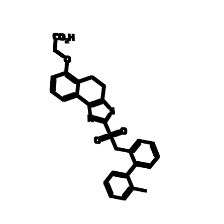 Cc1ccccc1-c1ccccc1CS(=O)(=O)c1nc2c(s1)CCc1c(OCC(=O)O)cccc1-2